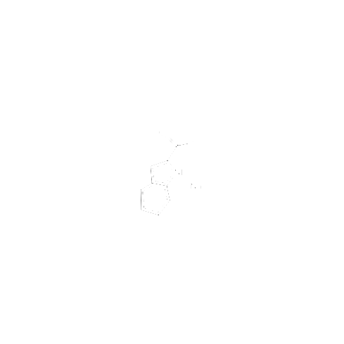 O=C(O)c1cc2ccccc2[nH]1.[Na]